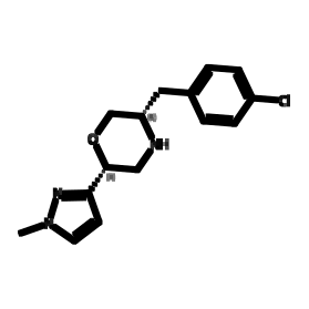 Cn1ccc([C@H]2CN[C@@H](Cc3ccc(Cl)cc3)CO2)n1